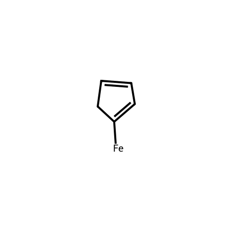 [Fe][C]1=CC=CC1